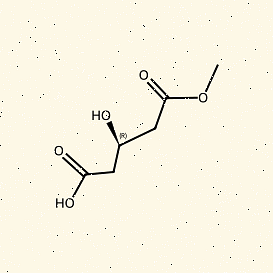 COC(=O)C[C@H](O)CC(=O)O